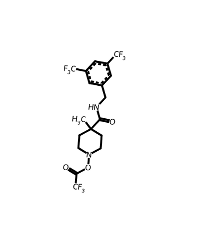 CC1(C(=O)NCc2cc(C(F)(F)F)cc(C(F)(F)F)c2)CCN(OC(=O)C(F)(F)F)CC1